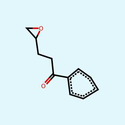 O=C(CCC1CO1)c1ccccc1